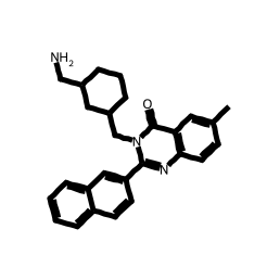 Cc1ccc2nc(-c3ccc4ccccc4c3)n(CC3CCCC(CN)C3)c(=O)c2c1